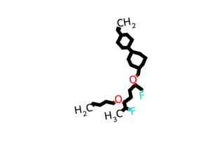 C=CCCCOC(CCC(CF)OCC1CCCC(C2CCC(C=C)CC2)CC1)C(C)F